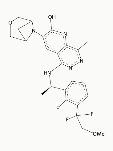 COCC(F)(F)c1cccc([C@@H](C)Nc2nnc(C)c3nc(O)c(N4C5COCC4C5)cc23)c1F